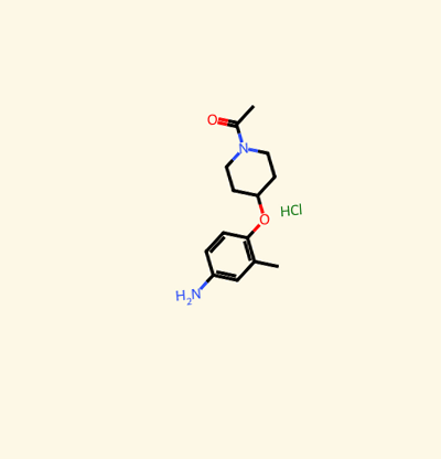 CC(=O)N1CCC(Oc2ccc(N)cc2C)CC1.Cl